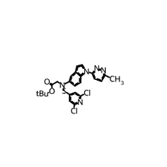 Cc1ccc(-n2ccc3cc(N(CC(=O)OC(C)(C)C)Sc4cc(Cl)nc(Cl)c4)ccc32)nn1